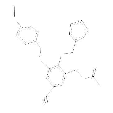 COc1ccc(COc2cc(C#N)nc(COC(C)=O)c2OCc2ccccc2)cc1